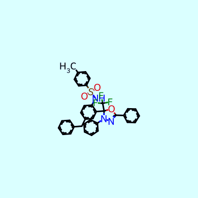 Cc1ccc(S(=O)(=O)Nc2ccc(Cc3ccccc3)cc2C2(C(F)(F)F)OC(c3ccccc3)=NN2c2ccccc2)cc1